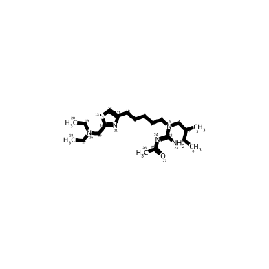 CCC(C)CN(CCCCCc1csc(CN(CC)CC)n1)C(N)=NC(C)=O